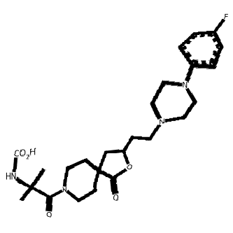 CC(C)(NC(=O)O)C(=O)N1CCC2(CC1)CC(CCN1CCN(c3ccc(F)cc3)CC1)OC2=O